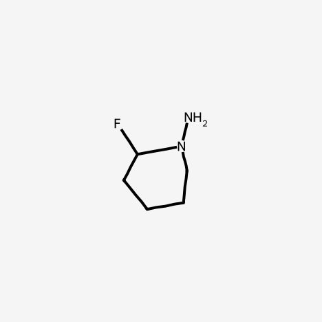 NN1CCCCC1F